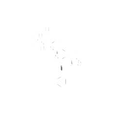 [2H]C([2H])([2H])NC(C)C(=O)Nc1ccc(-c2c(C)noc2C)c(C#Cc2ccccc2)n1